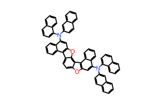 c1ccc2cc(N(c3cccc4ccccc34)c3cc4oc5c(ccc6oc7cc(N(c8ccc9ccccc9c8)c8cccc9ccccc89)c8ccccc8c7c65)c4c4ccccc34)ccc2c1